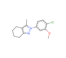 COc1cc(-n2nc3c(c2C)CCCC3)ccc1Cl